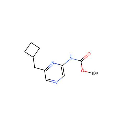 CC(C)(C)OC(=O)Nc1cncc(CC2CCC2)n1